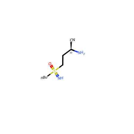 CCCCS(=N)(=O)CC[C@H](N)C#N